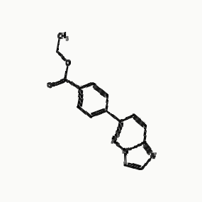 CCOC(=O)c1ccc(-c2ccc3nccn3n2)cc1